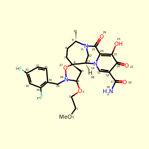 COCCOC1C[C@]2(CC[C@H](C)N3C[C@H]2n2cc(C(N)=O)c(=O)c(O)c2C3=O)ON1Cc1ccc(F)cc1F